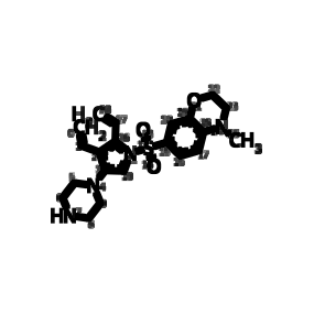 C=Cc1c(N2CCNCC2)cn(S(=O)(=O)c2ccc3c(c2)OCCN3C)c1C=C